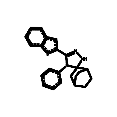 c1ccc(N2C(c3cc4ccccc4s3)=NNC23CC2CCC3CC2)cc1